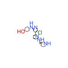 O[C@H]1CC[C@H](Nc2cc(-c3cccc(NC[C@@H]4CCCNC4)n3)c(Cl)cn2)CC1